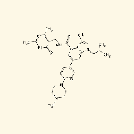 Cc1cc(C)c(CNC(=O)c2cc(-c3ccc(N4CCN(C)CC4)nc3)cc3c2c(C)cn3CC(C)C)c(=O)[nH]1